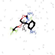 C[C@]1(c2cc(N)ccc2F)N=C(N)OC[C@@H]1OCC(F)(F)F